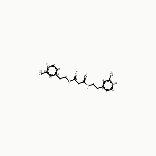 O=C(CC(=O)OCCc1ccnc(Cl)c1)OCCc1ccnc(Cl)c1